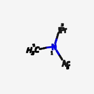 CC(=O)N(C)C(C)C